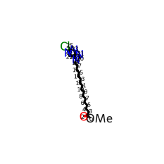 COC(=O)CCCCCCCCCCCCCCCCn1cnc2nc(Cl)ncc21